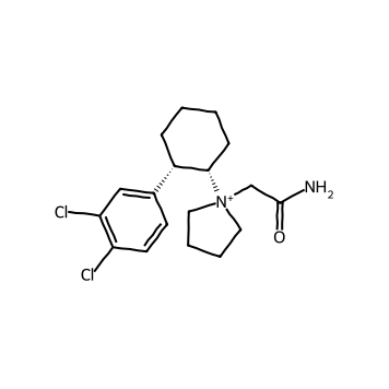 NC(=O)C[N+]1([C@H]2CCCC[C@H]2c2ccc(Cl)c(Cl)c2)CCCC1